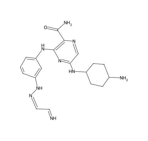 N=C/C=N\Nc1cccc(Nc2nc(NC3CCC(N)CC3)cnc2C(N)=O)c1